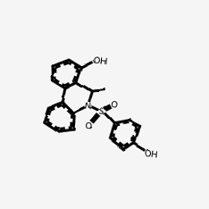 CC1c2c(O)cccc2-c2ccccc2N1S(=O)(=O)c1ccc(O)cc1